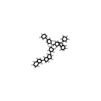 c1ccc(-c2ccc(N(c3ccc(-c4ccc5ccc(-c6ccc7ccccc7c6)cc5c4)cc3)c3ccc4c(c3)c3ccccc3n4-c3ccccc3)cc2)cc1